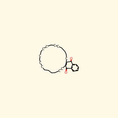 O=C1C2=C(CCCCCCCCCCCCCCCCCCCC2)C(=O)c2ccccc21